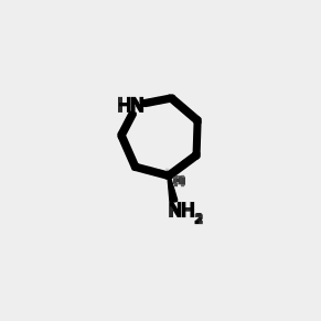 N[C@@H]1CCCNCC1